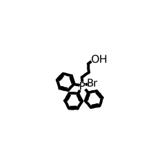 OCCCP(Br)(c1ccccc1)(c1ccccc1)c1ccccc1